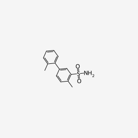 Cc1ccccc1-c1ccc(C)c(S(N)(=O)=O)c1